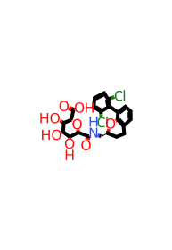 O=C(O)C1OC(C(=O)NC[C@H]2CCc3cccc(-c4c(Cl)cccc4Cl)c3O2)C(O)C(O)C1O